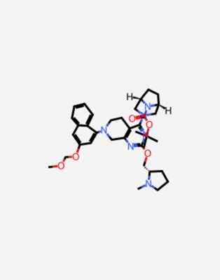 COCOc1cc(N2CCc3c(nc(OC[C@@H]4CCCN4C)nc3N3C[C@H]4CC[C@@H](C3)N4C(=O)OC(C)(C)C)C2)c2ccccc2c1